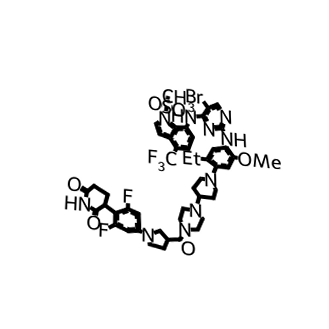 CCc1cc(Nc2ncc(Br)c(Nc3ccc(C(F)(F)F)c4ccn(S(C)(=O)=O)c34)n2)c(OC)cc1N1CCC(N2CCN(C(=O)C3CCN(c4cc(F)c(C5CCC(=O)NC5=O)c(F)c4)C3)CC2)CC1